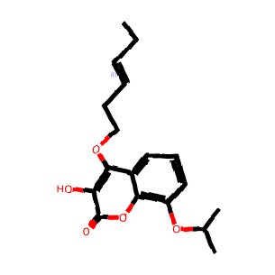 CC/C=C/CCOc1c(O)c(=O)oc2c(OC(C)C)cccc12